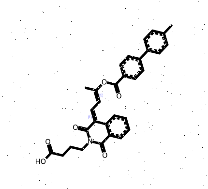 C/C(=C\C=C1\C(=O)N(CCCC(=O)O)C(=O)c2ccccc21)OC(=O)c1ccc(-c2ccc(C)cc2)cc1